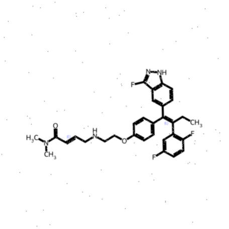 CC/C(=C(/c1ccc(OCCNC/C=C/C(=O)N(C)C)cc1)c1ccc2[nH]nc(F)c2c1)c1cc(F)ccc1F